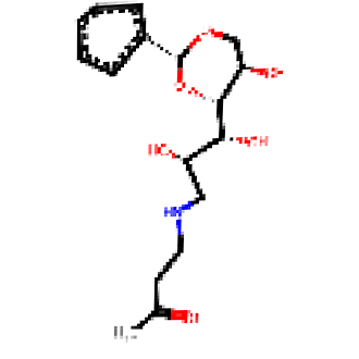 CC(=O)CCNC[C@H](O)[C@@H](O)[C@@H]1O[C@H](c2ccccc2)OC[C@H]1O